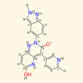 Cc1ccc(-c2c(=O)n(-c3ccc4nn(C)cc4c3)nc3ccc(O)nc23)cn1